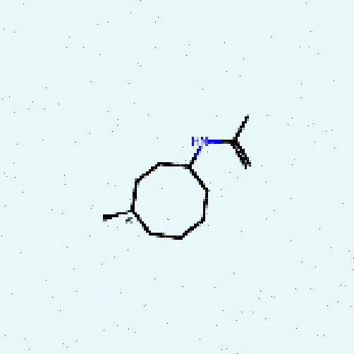 C=C(C)NC1CCCC[C@@H](C)CC1